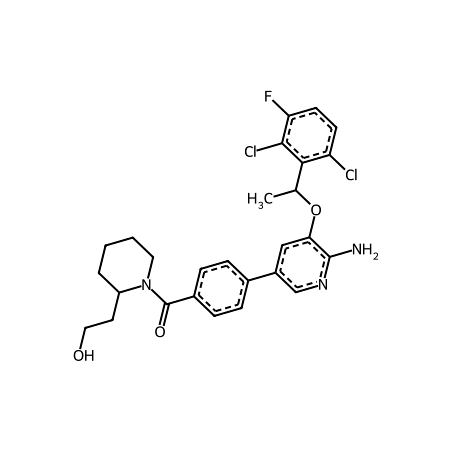 CC(Oc1cc(-c2ccc(C(=O)N3CCCCC3CCO)cc2)cnc1N)c1c(Cl)ccc(F)c1Cl